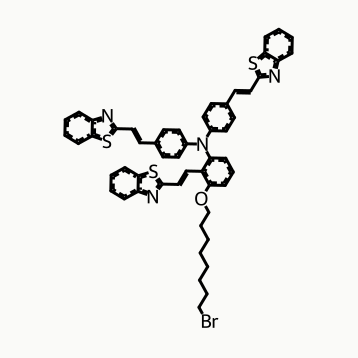 BrCCCCCCCCOc1cccc(N(c2ccc(C=Cc3nc4ccccc4s3)cc2)c2ccc(C=Cc3nc4ccccc4s3)cc2)c1C=Cc1nc2ccccc2s1